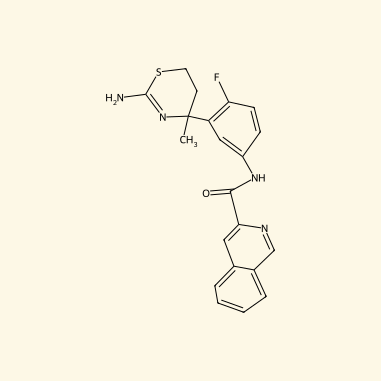 CC1(c2cc(NC(=O)c3cc4ccccc4cn3)ccc2F)CCSC(N)=N1